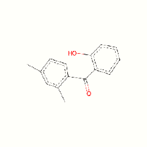 Cc1ccc(C(=O)c2ccccc2O)c(C)c1